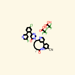 C[C@@H]1CCC[C@H](n2cnc(-c3cc(Cl)ccc3-c3cncc(F)c3)cc2=O)c2cc(ccn2)-c2ccc(C#N)cc2NC1=O.O=C(O)C(F)(F)F.O=C(O)C(F)(F)F